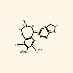 COc1cc2c(c(Cl)c1OC)CCN(C)CC2c1ccc2c(c1)CCC2